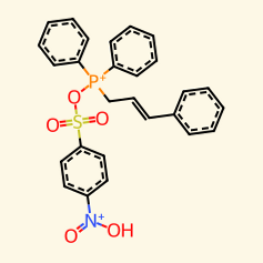 O=[N+](O)c1ccc(S(=O)(=O)O[P+](CC=Cc2ccccc2)(c2ccccc2)c2ccccc2)cc1